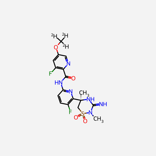 [2H]C([2H])([2H])Oc1cnc(C(=O)Nc2ccc(F)c([C@]3(C)CS(=O)(=O)N(C)C(=N)N3)n2)c(F)c1